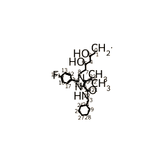 [CH2]CC(O)CC(O)CCn1c(-c2ccc(F)cc2)nc(C(=O)NCC2CCCCC2)c1C(C)C